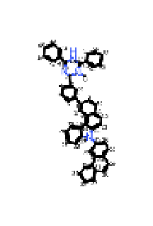 CN1C(c2cccc(-c3ccc4ccc5c(c4c3)c3ccccc3n5-c3ccc4ccc5ccccc5c4c3)c2)N=C(c2ccccc2)NC1c1ccccc1